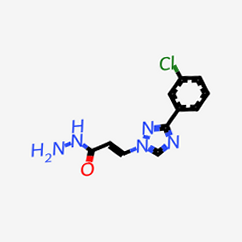 NNC(=O)C=Cn1cnc(-c2cccc(Cl)c2)n1